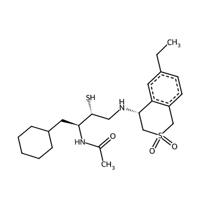 CCc1ccc2c(c1)[C@@H](NC[C@@H](S)[C@H](CC1CCCCC1)NC(C)=O)CS(=O)(=O)C2